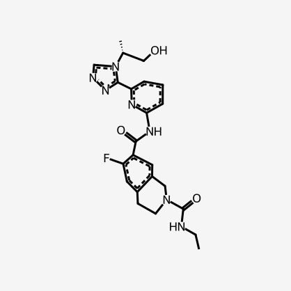 CCNC(=O)N1CCc2cc(F)c(C(=O)Nc3cccc(-c4nncn4[C@H](C)CO)n3)cc2C1